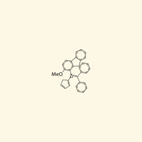 COc1ccc2c([c]1[Zr]([C]1=CC=CC1)=[C](c1ccccc1)c1ccccc1)Cc1ccccc1-2